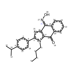 CCCCn1c(-c2ccc(C(C)C)cc2)nc2c1C(=O)c1ccccc1/C2=N\O